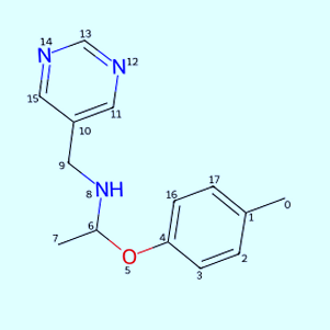 Cc1ccc(OC(C)NCc2cncnc2)cc1